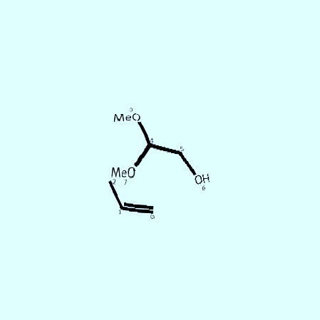 C=CC.COC(CO)OC